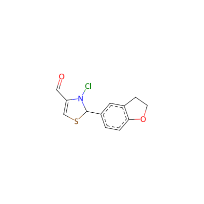 O=CC1=CSC(c2ccc3c(c2)CCO3)N1Cl